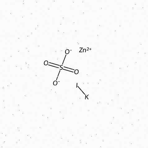 O=S(=O)([O-])[O-].[K][I].[Zn+2]